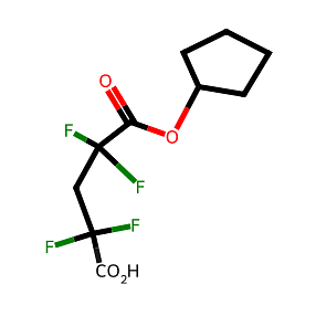 O=C(O)C(F)(F)CC(F)(F)C(=O)OC1CCCC1